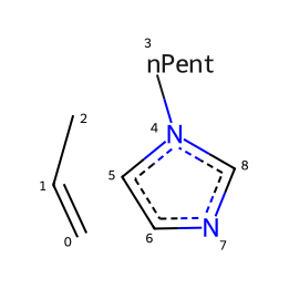 C=CC.CCCCCn1ccnc1